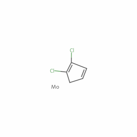 ClC1=C(Cl)CC=C1.[Mo]